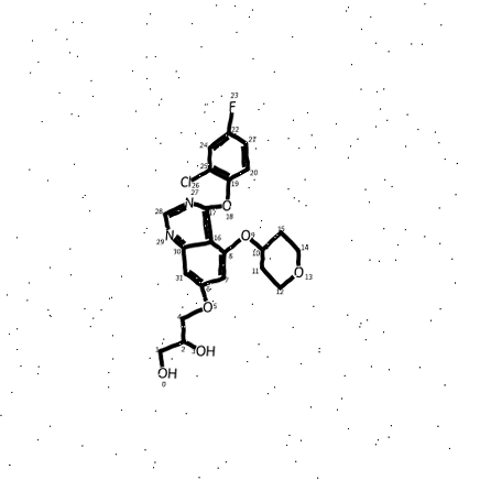 OCC(O)COc1cc(OC2CCOCC2)c2c(Oc3ccc(F)cc3Cl)ncnc2c1